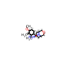 COc1ccc(CN2C3COCC2CC(N)C3)c(C)c1C